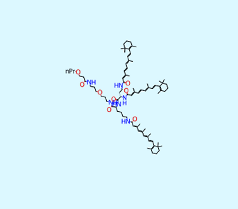 CCCOCCC(=O)NCCCOCCCNC(=O)C(CCCCNC(=O)/C=C(C)/C=C(C)/C=C(C)/C=C/C1=C(C)CCCC1(C)C)NC(=O)[C@H](CCNC(=O)/C=C(C)/C=C/C=C(C)/C=C/C1=C(C)CCCC1(C)C)NC(=O)/C=C(C)/C=C/C=C(C)/C=C/C1=C(C)CCCC1(C)C